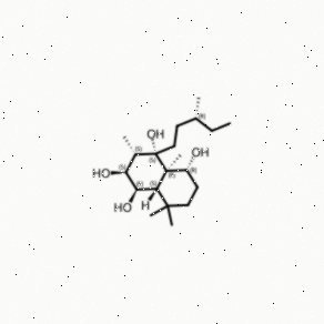 CC[C@@H](C)CC[C@]1(O)[C@@H](C)[C@H](O)[C@H](O)[C@H]2C(C)(C)CC[C@@H](O)[C@@]21C